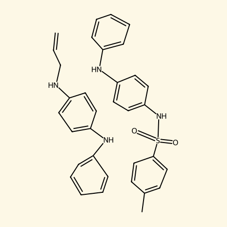 C=CCNc1ccc(Nc2ccccc2)cc1.Cc1ccc(S(=O)(=O)Nc2ccc(Nc3ccccc3)cc2)cc1